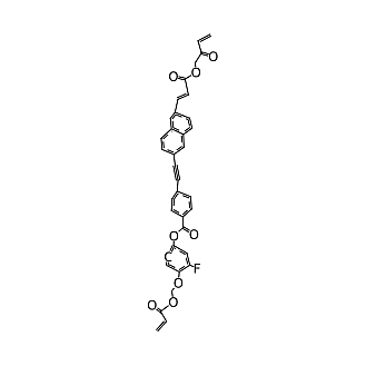 C=CC(=O)COC(=O)/C=C/c1ccc2cc(C#Cc3ccc(C(=O)Oc4ccc(OCOC(=O)C=C)c(F)c4)cc3)ccc2c1